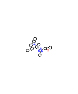 c1ccc(-c2ccc(-c3cc(-c4nc(-c5ccccc5)nc(-c5ccc6c(c5)oc5ccccc56)n4)c4ccccc4c3-n3c4ccccc4c4cc5ccccc5cc43)cc2)cc1